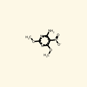 COc1nc(N)c([N+](=O)[O-])c(OC)n1